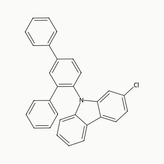 Clc1ccc2c3ccccc3n(-c3ccc(-c4ccccc4)cc3-c3ccccc3)c2c1